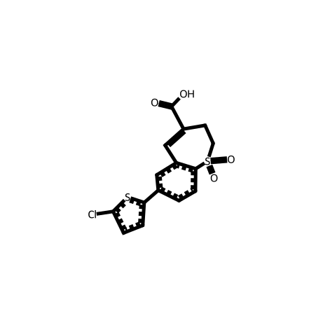 O=C(O)C1=Cc2cc(-c3ccc(Cl)s3)ccc2S(=O)(=O)CC1